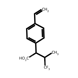 C=Cc1ccc(C(C(=O)O)C(C)C(F)(F)F)cc1